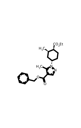 CCOC(=O)[C@H]1CC[C@H](n2ncc(C(=O)OCc3ccccc3)c2C)C[C@H]1C